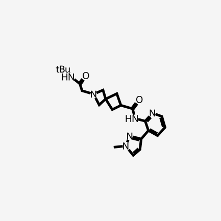 Cn1ccc(-c2cccnc2NC(=O)C2CC3(C2)CN(CC(=O)NC(C)(C)C)C3)n1